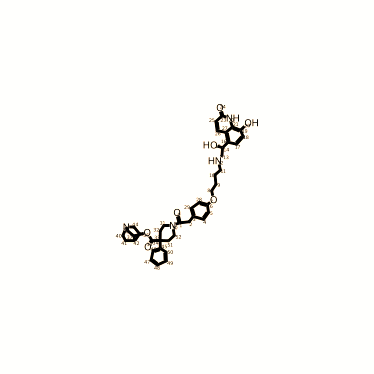 O=C(Cc1ccc(OCCCCNCC(O)c2ccc(O)c3[nH]c(=O)ccc23)cc1)N1CCC(C(=O)OC2CN3CCC2CC3)(c2ccccc2)CC1